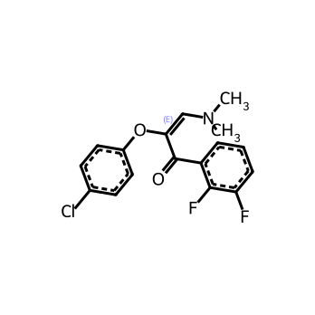 CN(C)/C=C(/Oc1ccc(Cl)cc1)C(=O)c1cccc(F)c1F